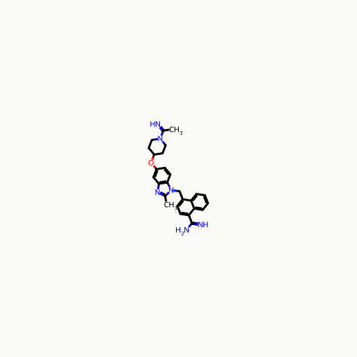 CC(=N)N1CCC(Oc2ccc3c(c2)nc(C)n3Cc2ccc(C(=N)N)c3ccccc23)CC1